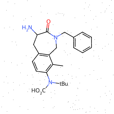 Cc1c(N(C(=O)O)C(C)(C)C)ccc2c1CN(Cc1ccccc1)C(=O)C(N)C2